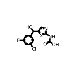 O=C(O)Nc1ncc(C(O)c2cc(F)cc(Cl)c2)s1